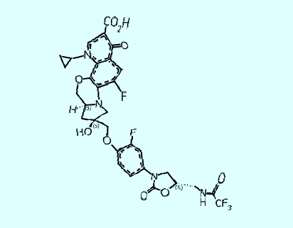 O=C(O)c1cn(C2CC2)c2c3c(c(F)cc2c1=O)N1C[C@](O)(COc2ccc(N4C[C@H](CNC(=O)C(F)(F)F)OC4=O)cc2F)C[C@H]1CO3